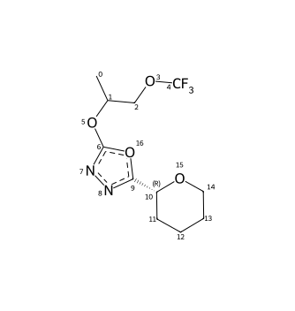 CC(COC(F)(F)F)Oc1nnc([C@H]2CCCCO2)o1